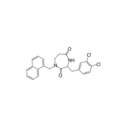 O=C1CCN(Cc2cccc3ccccc23)C(=O)C(Cc2ccc(Cl)c(Cl)c2)N1